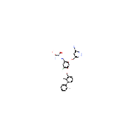 Cc1ccccc1-c1cccc(COc2cc(OCc3cncc(C#N)c3)c(CNC(CO)C(=O)O)cc2Cl)c1C